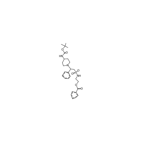 CC(C)(C)OC(=O)NC1CCN(C(CS(=O)(=O)NCCOC(=O)c2ccccc2)c2ccccc2)CC1